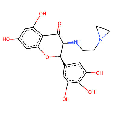 O=C1c2c(O)cc(O)cc2O[C@H](c2cc(O)c(O)c(O)c2)[C@@H]1NCCN1CC1